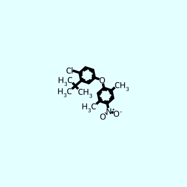 Cc1cc([N+](=O)[O-])c(C)cc1Oc1ccc(Cl)c(C(C)(C)C)c1